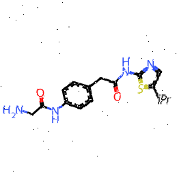 CC(C)c1cnc(NC(=O)Cc2ccc(NC(=O)CN)cc2)s1